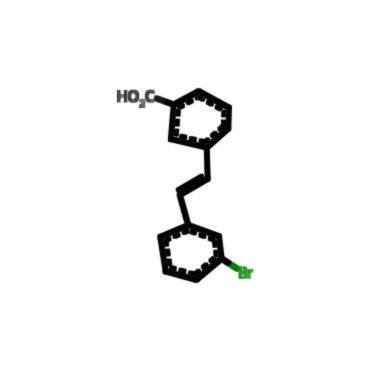 O=C(O)c1cccc(C=Cc2cccc(Br)c2)c1